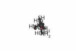 NC(O)NCCCC(N)C(=O)N(CC(=O)N(CCc1c[nH]c2ccccc12)CC(=O)N(CC(=O)NCCS)Cc1cccnc1)Cc1cccnc1